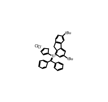 CC(C)(C)c1ccc2c(c1)-c1cc(C(C)(C)C)c[c]([Ti+2]([C]3=CC=CC3)=[C](c3ccccc3)c3ccccc3)c1C2.[Cl-].[Cl-]